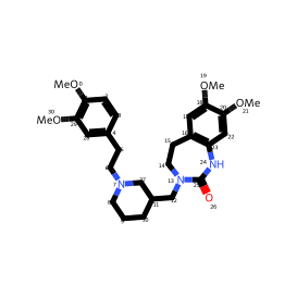 COc1ccc(CCN2CCCC(CN3CCc4cc(OC)c(OC)cc4NC3=O)C2)cc1OC